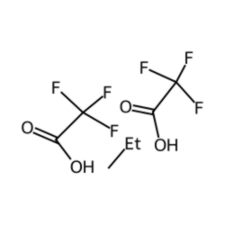 CCC.O=C(O)C(F)(F)F.O=C(O)C(F)(F)F